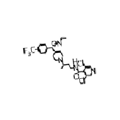 CC=NOC(c1ccc(C(F)(F)F)cc1)C1CCN(C(C)CCNC(=O)c2c(Cl)cncc2Cl)CC1